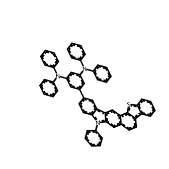 c1ccc(N(c2ccccc2)c2cc(-c3ccc4c(c3)c3cc5c(ccc6c7ccccc7sc56)cc3n4-c3ccccc3)cc(N(c3ccccc3)c3ccccc3)c2)cc1